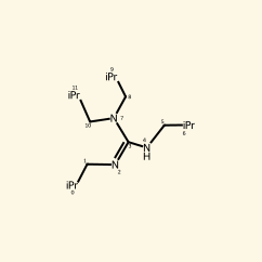 CC(C)CN=C(NCC(C)C)N(CC(C)C)CC(C)C